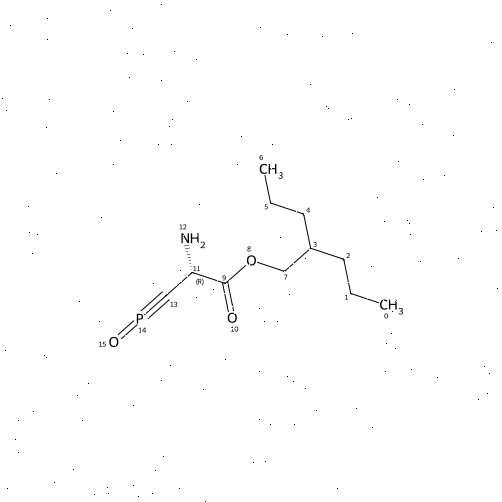 CCCC(CCC)COC(=O)[C@@H](N)C#P=O